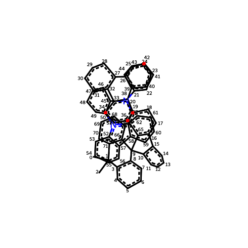 CC1(C)c2ccccc2C2(c3ccccc3-c3ccc(N(c4ccccc4-c4ccccc4-c4ccccc4-c4ccccc4)c4ccccc4-n4c5ccccc5c5ccccc54)cc32)c2ccccc21